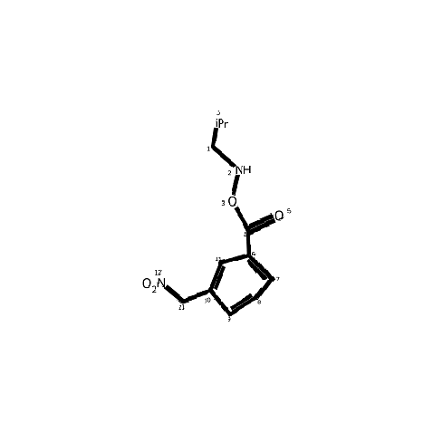 CC(C)CNOC(=O)c1cccc(C[N+](=O)[O-])c1